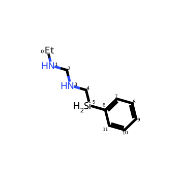 CCNCNC[SiH2]c1ccccc1